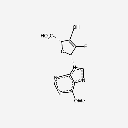 COc1ncnc2c1ncn2[C@@H]1O[C@H](C(=O)O)C(O)=C1F